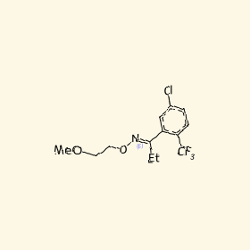 CC/C(=N\OCCOC)c1cc(Cl)ccc1C(F)(F)F